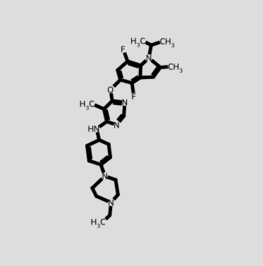 CCN1CCN(C2=CCC(Nc3ncnc(Oc4cc(F)c5c(cc(C)n5C(C)C)c4F)c3C)C=C2)CC1